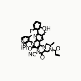 C=CC(=O)N1CC2C(=O)N(C#N)c3c(c4cc(F)c(-c5c(O)cccc5F)nc4n(-c4c(C)ccnc4C(C)C)c3=O)N2CC1C